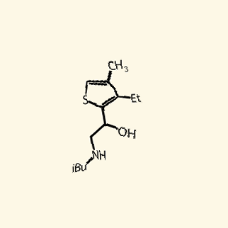 CCc1c(C)csc1C(O)CNC(C)CC